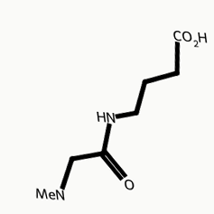 CNCC(=O)NCCCC(=O)O